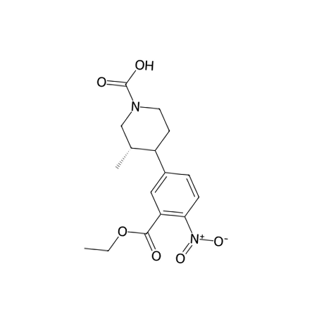 CCOC(=O)c1cc(C2CCN(C(=O)O)C[C@H]2C)ccc1[N+](=O)[O-]